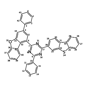 c1ccc(-c2cc(-c3nc(-c4ccccc4)nc(-c4ccc5c(c4)sc4ccccc45)n3)c3c(c2)oc2ccccc23)cc1